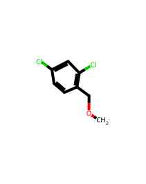 [CH2]OCc1ccc(Cl)cc1Cl